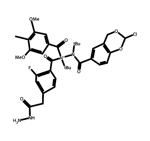 COc1cc(C(=O)[N+](C(=O)c2ccc(CC(=O)NN)cc2F)(N(C(=O)c2ccc3c(c2)COC(Cl)O3)C(C)(C)C)C(C)(C)C)cc(OC)c1C